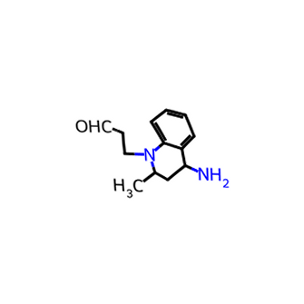 CC1CC(N)c2ccccc2N1CCC=O